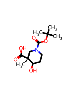 CC(C)(C)OC(=O)N1CCC(O)[C@](C)(C(=O)O)C1